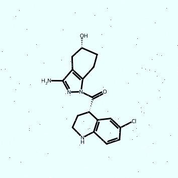 Nc1nn(C(=O)[C@H]2CCNc3ccc(Cl)cc32)c2c1C[C@H](O)CC2